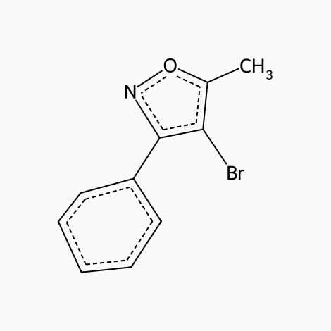 Cc1onc(-c2ccccc2)c1Br